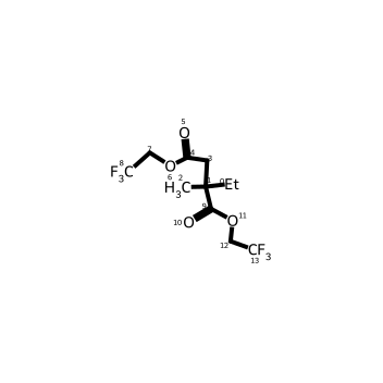 CCC(C)(CC(=O)OCC(F)(F)F)C(=O)OCC(F)(F)F